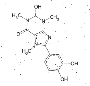 CN1C(=O)c2c(nc(-c3ccc(O)c(O)c3)n2C)N(C)C1O